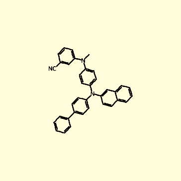 CN(c1ccc(N(c2ccc(-c3ccccc3)cc2)c2ccc3ccccc3c2)cc1)c1cccc(C#N)c1